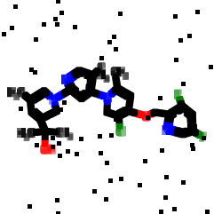 CC1=CN(c2cc(N3CC(Cl)=C(OCc4ncc(F)cc4F)C=C3C)c(C)cn2)CC(C(C)(C)O)=C1